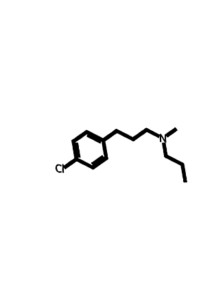 CCCN(C)CCCc1ccc(Cl)cc1